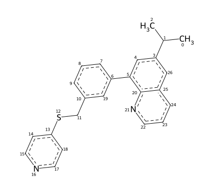 CC(C)c1cc(-c2cccc(CSc3ccncc3)c2)c2ncccc2c1